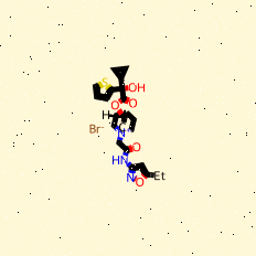 CCc1cc(NC(=O)C[N+]23CCC(CC2)[C@@H](OC(=O)C(O)(c2cccs2)C2CC2)C3)no1.[Br-]